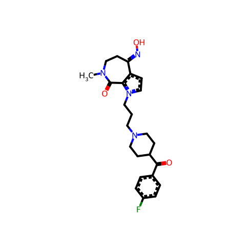 CN1CCC(=NO)c2ccn(CCCN3CCC(C(=O)c4ccc(F)cc4)CC3)c2C1=O